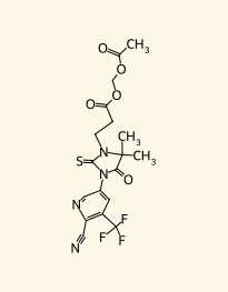 CC(=O)OCOC(=O)CCN1C(=S)N(c2cnc(C#N)c(C(F)(F)F)c2)C(=O)C1(C)C